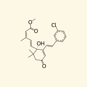 COC(=O)/C=C(C)\C=C\[C@@]1(O)C(/C=C/c2cccc(Cl)c2)=CC(=O)CC1(C)C